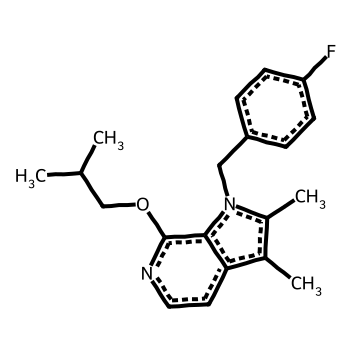 Cc1c(C)n(Cc2ccc(F)cc2)c2c(OCC(C)C)nccc12